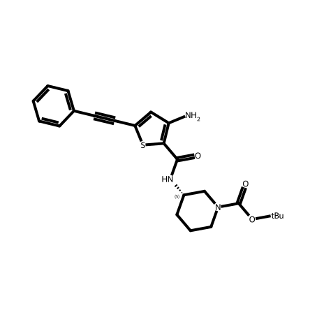 CC(C)(C)OC(=O)N1CCC[C@H](NC(=O)c2sc(C#Cc3ccccc3)cc2N)C1